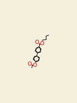 CCCCOC(=O)c1ccc(-c2ccc(OC(C)=O)cc2)cc1